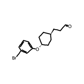 O=CCC[C@H]1CC[C@H](Oc2cccc(Br)c2)CC1